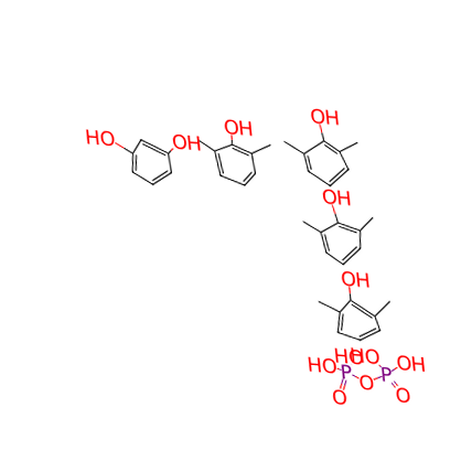 Cc1cccc(C)c1O.Cc1cccc(C)c1O.Cc1cccc(C)c1O.Cc1cccc(C)c1O.O=P(O)(O)OP(=O)(O)O.Oc1cccc(O)c1